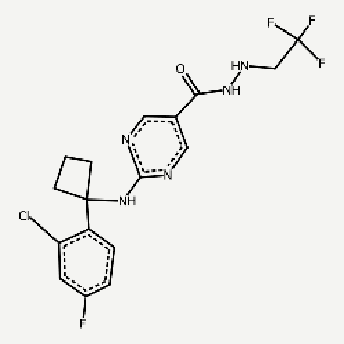 O=C(NNCC(F)(F)F)c1cnc(NC2(c3ccc(F)cc3Cl)CCC2)nc1